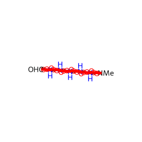 CNCCOCCOCC(=O)NCCOCCOCC(=O)NCCOCCOCC(=O)NCCOCCOCC(=O)NCCOCCOCC(=O)NCCOCCOCC=O